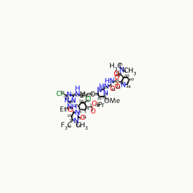 CC(C)OC(=O)c1cc(-n2c(=O)cc(C(F)(F)F)n(C)c2=O)ccc1Cl.CCNc1nc(Cl)nc(NC(C)C)n1.COc1cc(OC)nc(NC(=O)NS(=O)(=O)c2ncccc2C(=O)N(C)C)n1